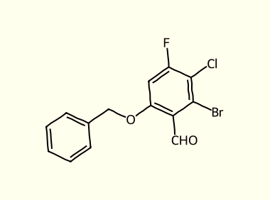 O=Cc1c(OCc2ccccc2)cc(F)c(Cl)c1Br